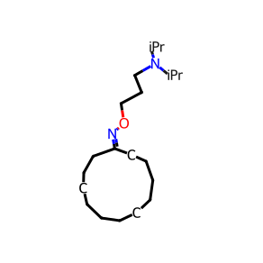 CC(C)N(CCCON=C1CCCCCCCCCCC1)C(C)C